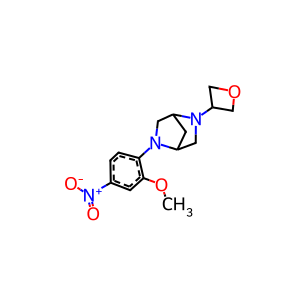 COc1cc([N+](=O)[O-])ccc1N1CC2CC1CN2C1COC1